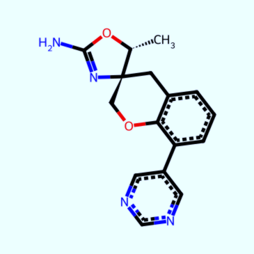 C[C@H]1OC(N)=N[C@]12COc1c(cccc1-c1cncnc1)C2